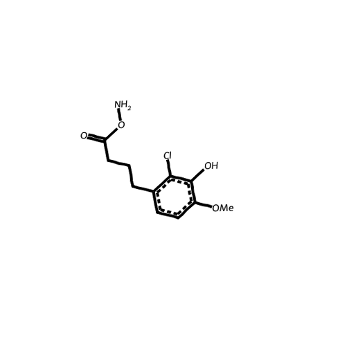 COc1ccc(CCCC(=O)ON)c(Cl)c1O